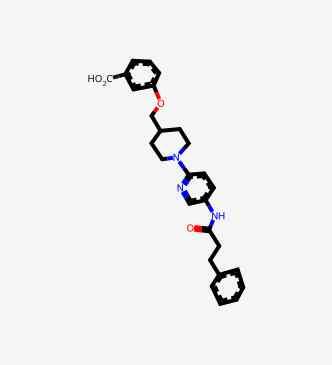 O=C(CCc1ccccc1)Nc1ccc(N2CCC(COc3cccc(C(=O)O)c3)CC2)nc1